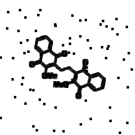 COC1=C(CCC2=C(OC)C(=O)c3ccccc3C2=O)C(=O)c2ccccc2C1=O